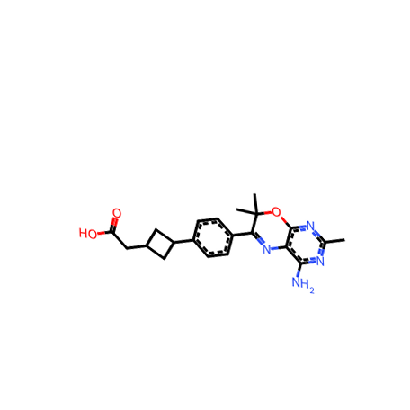 Cc1nc(N)c2c(n1)OC(C)(C)C(c1ccc(C3CC(CC(=O)O)C3)cc1)=N2